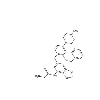 CN1CCN(c2cnc(Sc3cc(NC(=O)CN)c4c(c3)OCO4)c(OCc3ccccc3)c2)CC1